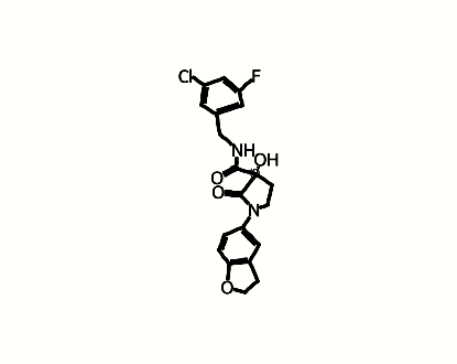 O=C(NCc1cc(F)cc(Cl)c1)[C@@]1(O)CCN(c2ccc3c(c2)CCO3)C1=O